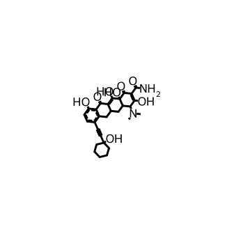 CN(C)C1C(O)=C(C(N)=O)C(=O)C2(O)C(O)=C3C(=O)c4c(O)ccc(C#CC5(O)CCCCC5)c4CC3CC12